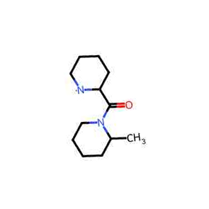 CC1CCCCN1C(=O)C1CCCC[N]1